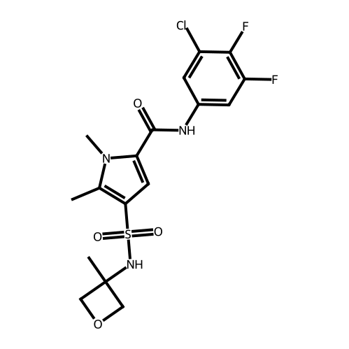 Cc1c(S(=O)(=O)NC2(C)COC2)cc(C(=O)Nc2cc(F)c(F)c(Cl)c2)n1C